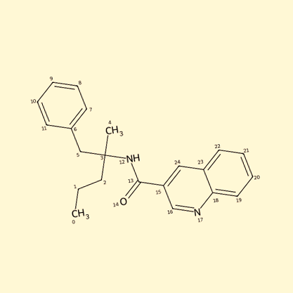 CCCC(C)(Cc1ccccc1)NC(=O)c1cnc2ccccc2c1